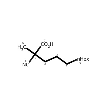 CCCCCCCCCC(C)(C#N)C(=O)O